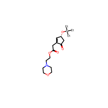 CC[Si](CC)(CC)O[C@H]1C=C(CC(=O)OCCN2CCOCC2)C(=O)C1